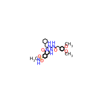 CNS(=O)(=O)c1ccc2ccn([C@@H](CC3CCCCC3)NC(=N)NC(=O)Cc3ccc(OC)c(OC)c3)c(=O)c2c1